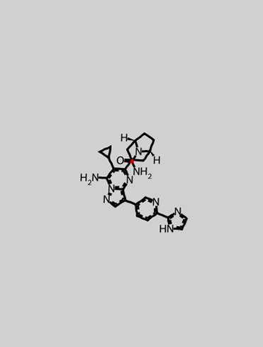 NC(=O)N1[C@@H]2CC[C@H]1CC(c1nc3c(-c4ccc(-c5ncc[nH]5)nc4)cnn3c(N)c1C1CC1)C2